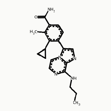 CCCNc1nccn2c(-c3ccc(C(N)=O)c(C)c3C3CC3)cnc12